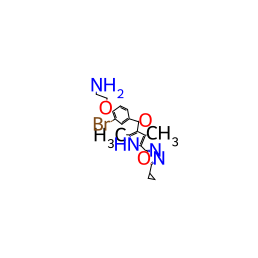 Cc1[nH]c(-c2nnc(C3CC3)o2)c(C)c1C(=O)c1ccc(OCCN)c(Br)c1